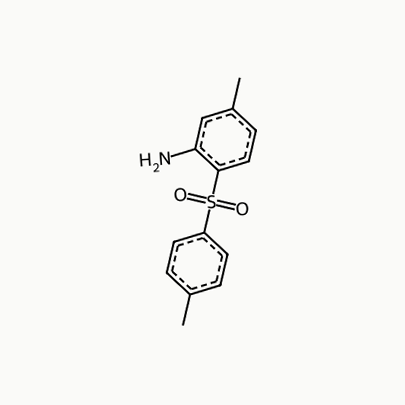 Cc1ccc(S(=O)(=O)c2ccc(C)cc2N)cc1